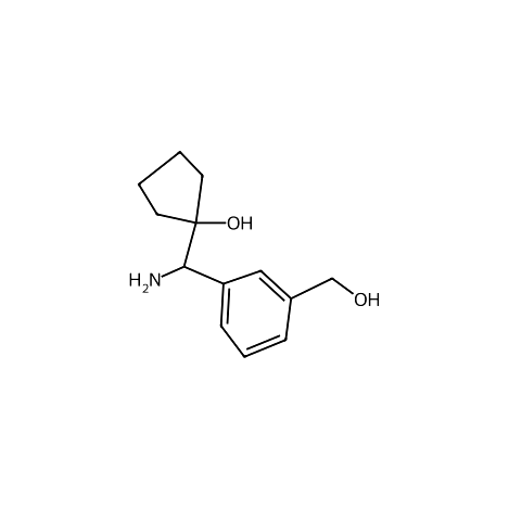 NC(c1cccc(CO)c1)C1(O)CCCC1